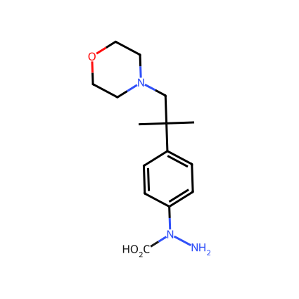 CC(C)(CN1CCOCC1)c1ccc(N(N)C(=O)O)cc1